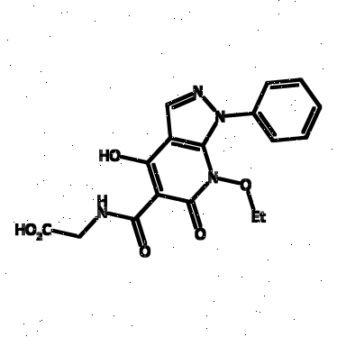 CCOn1c(=O)c(C(=O)NCC(=O)O)c(O)c2cnn(-c3ccccc3)c21